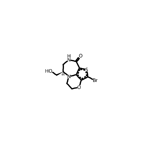 O=C1NC[C@H](CO)N2CCOc3c(Br)sc1c32